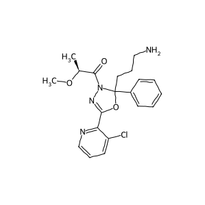 CO[C@@H](C)C(=O)N1N=C(c2ncccc2Cl)OC1(CCCN)c1ccccc1